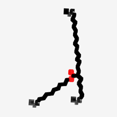 CCCCCCCCCCCCCCCCC(CCCCCC)C(=O)OCCCCCCCCCC